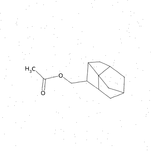 CC(=O)OCC1C2CC3CC(C2)CC1C3